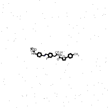 Cc1ccc(-c2ccc(C(=O)NC(Cc3ccc(/C=C/c4ccc(NC(=O)OC(C)(C)C)cc4)c(F)c3)C(=O)O)o2)cc1